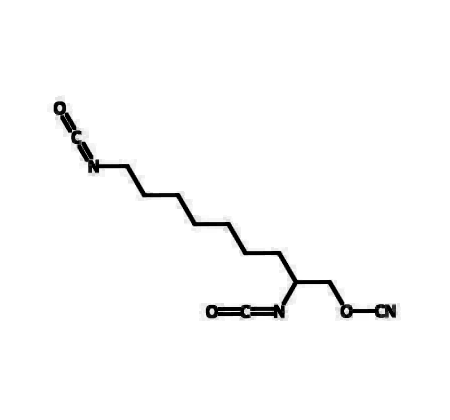 N#COCC(CCCCCCCN=C=O)N=C=O